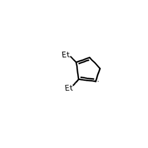 CCC1=[C]CC=C1CC